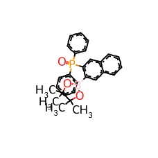 CC1(C)OB(c2cc3ccccc3cc2P(=O)(c2ccccc2)c2ccccc2)OC1(C)C